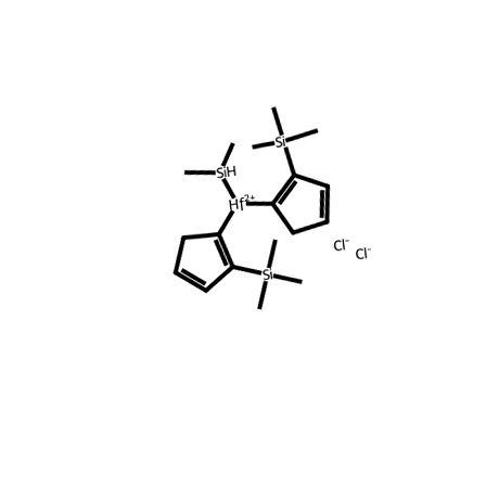 C[SiH](C)[Hf+2]([C]1=C([Si](C)(C)C)C=CC1)[C]1=C([Si](C)(C)C)C=CC1.[Cl-].[Cl-]